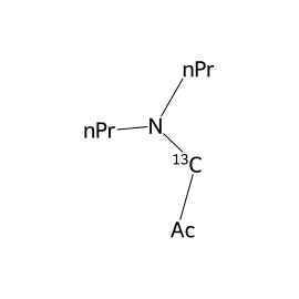 CCCN(CCC)[13CH2]C(C)=[18O]